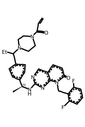 C=CC(=O)N1CCN(C(CC)c2ccc([C@H](C)Nc3ncc4ccc(=O)n(Cc5c(F)cccc5F)c4n3)cc2)CC1